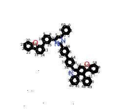 c1ccc(-c2cc(-c3cccc(-c4cccc5c4oc4ccccc45)c3)nc(-c3ccc(-c4ccc(-c5nc6ccccc6c6c(-c7ccccc7)c7c(cc56)oc5ccccc57)cc4)cc3)n2)cc1